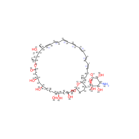 CC1OC(O[C@H]2/C=C/C=C/C=C/C=C/C=C/C=C/C=C/[C@H](C)[C@@H](O)[C@@H](C)[C@H](C)OC(=O)C[C@H](O)C[C@H](O)CC[C@@H](O)[C@H](O)C[C@H](O)C[C@]3(O)CC[C@@H](C(=O)O)[C@H](C2)O3)C(O)C(N)C1O